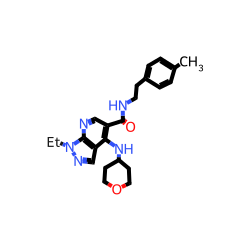 CCn1ncc2c(NC3CCOCC3)c(C(=O)NCCc3ccc(C)cc3)cnc21